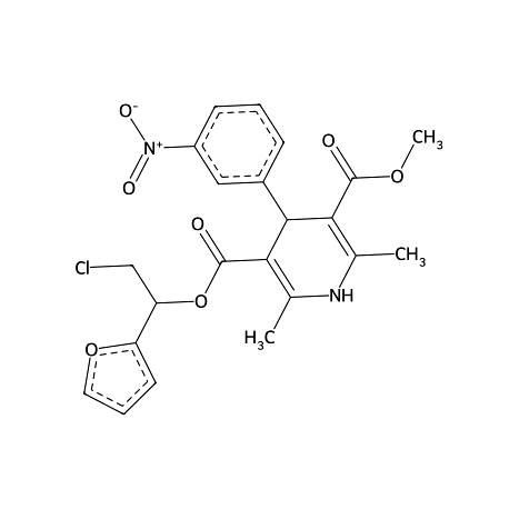 COC(=O)C1=C(C)NC(C)=C(C(=O)OC(CCl)c2ccco2)C1c1cccc([N+](=O)[O-])c1